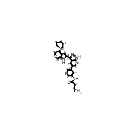 CCCC(=O)Nc1cncc(-c2cnc3[nH]nc(-c4cc5c(N6CCCCC6)cncc5[nH]4)c3c2)c1